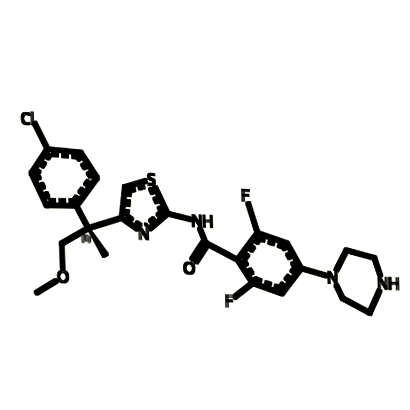 COC[C@](C)(c1ccc(Cl)cc1)c1csc(NC(=O)c2c(F)cc(N3CCNCC3)cc2F)n1